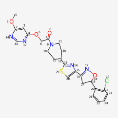 COc1cc(OCC(=O)N2CCC(c3nc(C4=NOC(c5[c]cccc5Cl)C4)cs3)CC2)ncn1